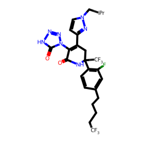 CC(C)Cn1ccc(C2=C(n3nn[nH]c3=O)C(=O)NC(c3ccc(CCCCC(F)(F)F)cc3F)(C(F)(F)F)C2)n1